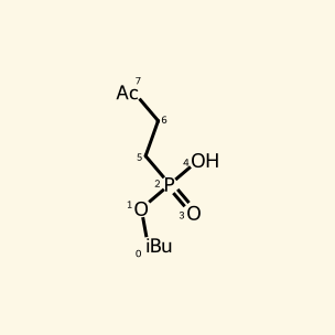 CCC(C)OP(=O)(O)CCC(C)=O